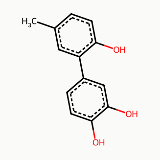 Cc1ccc(O)c(-c2ccc(O)c(O)c2)c1